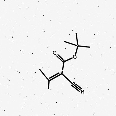 CC(C)=C(C#N)C(=O)OC(C)(C)C